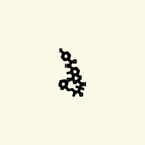 Cc1c(NC(=O)c2ccc(F)cc2)ccc2nc(NC(C)(C)C(=O)N(C)CCc3ccccn3)oc(=O)c12